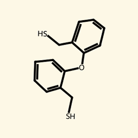 SCc1ccccc1Oc1ccccc1CS